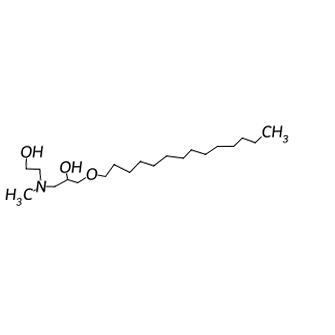 CCCCCCCCCCCCCCOCC(O)CN(C)CCO